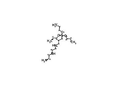 CCCO[Si](CCCNCCNCCN)(OCCC)OCCC